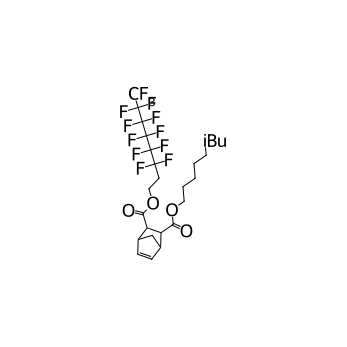 CCC(C)CCCCCOC(=O)C1C2C=CC(C2)C1C(=O)OCCC(F)(F)C(F)(F)C(F)(F)C(F)(F)C(F)(F)C(F)(F)F